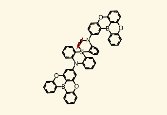 c1ccc2c(c1)Oc1cc(N3c4ccccc4[Si]4(c5ccccc53)c3ccccc3N(c3ccc5c(c3)B3c6ccccc6Oc6cccc(c63)O5)c3ccccc34)cc3c1B2c1ccccc1O3